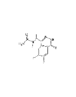 CC(c1n[nH]c(=O)c2cc(F)c(F)cc12)N(C)C(N)=O